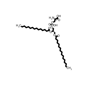 CCCCCCCCCCCCCCCCC(=O)OC[C@H](COP(=O)(O)OC[C@H](N)C(=O)O)OC(=O)CCCCCCCCCCCCCC